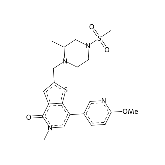 COc1ccc(-c2cn(C)c(=O)c3cc(CN4CCN(S(C)(=O)=O)CC4C)sc23)cn1